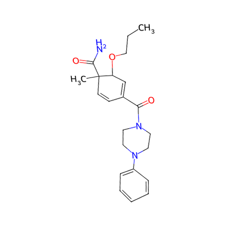 CCCOC1C=C(C(=O)N2CCN(c3ccccc3)CC2)C=CC1(C)C(N)=O